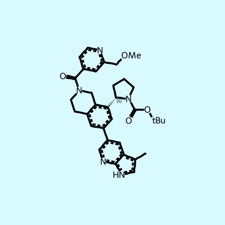 COCc1cc(C(=O)N2CCc3cc(-c4cnc5[nH]cc(C)c5c4)cc([C@@H]4CCCN4C(=O)OC(C)(C)C)c3C2)ccn1